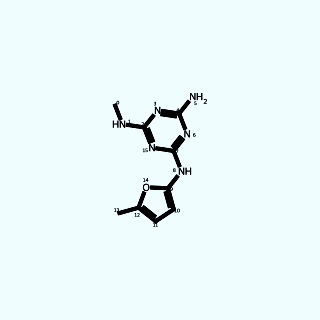 CNc1nc(N)nc(Nc2ccc(C)o2)n1